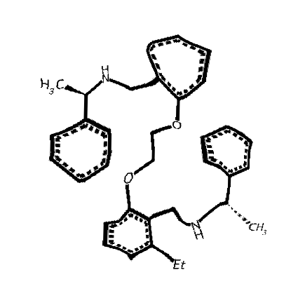 CCc1cccc(OCCOc2ccccc2CN[C@H](C)c2ccccc2)c1CN[C@@H](C)c1ccccc1